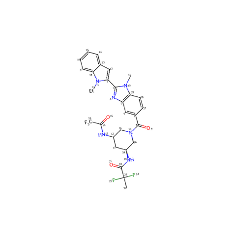 CCn1c(-c2nc3cc(C(=O)N4CC(NC(=O)C(F)(F)F)C[C@H](NC(=O)C(C)(F)F)C4)ccc3n2C)cc2ccccc21